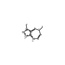 Cc1noc2c1=CC(C)C=CN=2